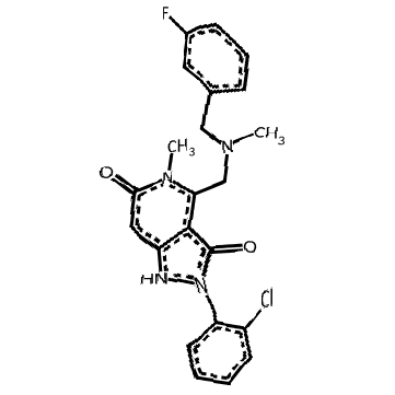 CN(Cc1cccc(F)c1)Cc1c2c(=O)n(-c3ccccc3Cl)[nH]c2cc(=O)n1C